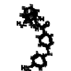 Cc1ccc(Sc2ccc(C(=O)N[C@@H]3C4CCN(CC4)[C@H]3C)cc2)nc1